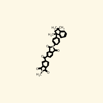 CN1C(=O)c2ccc(C(=O)c3ccc4c(c3)C(=O)N(C3=CC=C(C5(C)CC(C)(C)c6cc#ccc65)C=CC3)C4=O)cc2C1=O